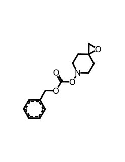 O=C(OCc1ccccc1)ON1CCC2(CC1)CO2